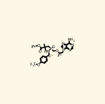 CC(C)OC(=O)C(C)(C)CP(=O)(CO[C@H](C)Cn1cnc2c(N)ncnc21)N[C@H](C)c1ccc(OC(F)(F)F)cc1